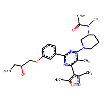 CNCC(O)COc1cccc(-c2nc(-c3c(C)noc3C)c(C)c(N3CCC[C@@H](N(C)C(=O)OC)C3)n2)c1